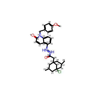 COc1ccc(Cn2c(=O)ccc3c(NNC(=O)CC45CC(C)CC(Cl)(CC(C)C4)C5)cccc32)cc1